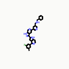 Cc1cc(F)cc(-c2nccc3[nH]c(-c4n[nH]c5cnc(-c6cncc(CNCc7ccccc7)c6)cc45)cc23)c1